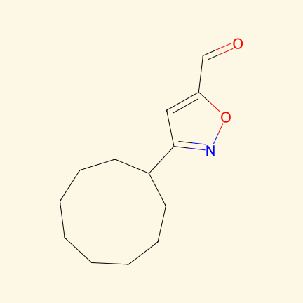 O=Cc1cc(C2CCCCCCCC2)no1